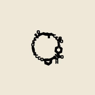 Cc1cc2ccc1CCS(=O)(=O)N1CCC3(CC1)N=C(NC3=O)c1cccc(c1)OCCCC=COCCN(C)C2=O